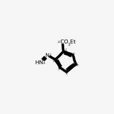 CCOC(=O)c1ccccc1N=N